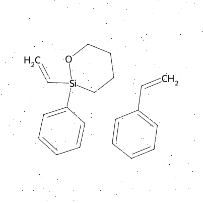 C=C[Si]1(c2ccccc2)CCCCO1.C=Cc1ccccc1